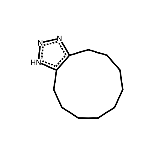 C1CCCCc2nn[nH]c2CCCC1